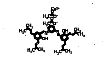 CC(=O)[O-].CC(=O)[O-].CC(C)CCc1cc(C=Nc2cccc(N=Cc3cc(CCC(C)C)cc(CCC(C)C)c3O)c2)c(O)c(CCC(C)C)c1.[Co+2]